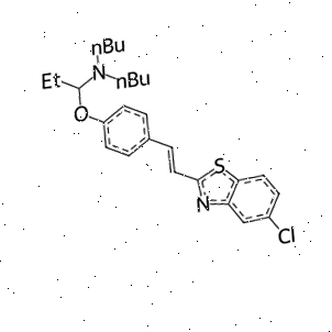 CCCCN(CCCC)C(CC)Oc1ccc(/C=C/c2nc3cc(Cl)ccc3s2)cc1